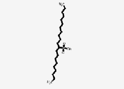 CCCCCCCCCCCC(CCCCCCCCC)S(=O)(=O)O